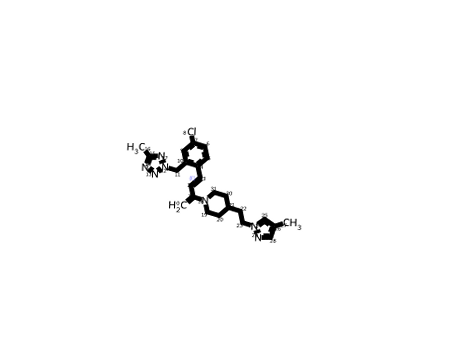 C=C(/C=C/c1ccc(Cl)cc1Cn1nnc(C)n1)N1CCC(CCn2cc(C)cn2)CC1